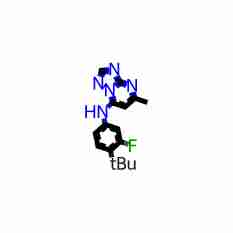 Cc1cc(Nc2ccc(C(C)(C)C)c(F)c2)n2ncnc2n1